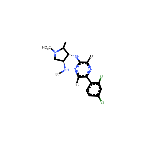 CCN[C@H]1CN(C(=O)O)C(C)[C@@H]1Nc1nc(CC)c(-c2ccc(Cl)cc2Cl)nc1CC